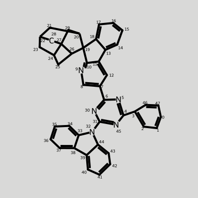 c1ccc(-c2nc(-c3cnc4c(c3)-c3ccccc3C43C4CC5CC6CC3C6(C5)C4)nc(-n3c4ccccc4c4ccccc43)n2)cc1